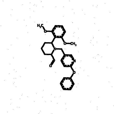 COc1cccc(OC)c1C1CCCC(C=O)N1Cc1ccc(Oc2ccccc2)nc1